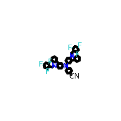 N#Cc1ccc(N(c2ccc3c(c2)c2ccccc2n3Cc2c(F)cc(F)cc2F)c2ccc3c(c2)c2ccccc2n3Cc2c(F)cc(F)cc2F)cc1